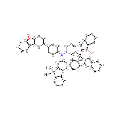 CC1(C)c2ccccc2-c2ccc(N(c3ccc(-c4ccc5oc6ccccc6c5c4)cc3)C3CC=CC4=C3c3ccccc3C43c4ccc5ccccc5c4Oc4c3ccc3ccccc43)cc21